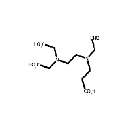 O=CCN(CCC(=O)O)CCN(CC(=O)O)CC(=O)O